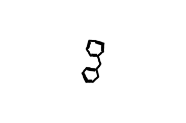 C1=CC=C(CC2=CC=CC=C=C2)CC=1